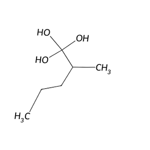 CCCC(C)C(O)(O)O